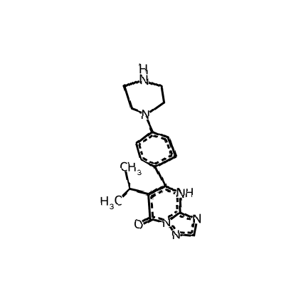 CC(C)c1c(-c2ccc(N3CCNCC3)cc2)[nH]c2ncnn2c1=O